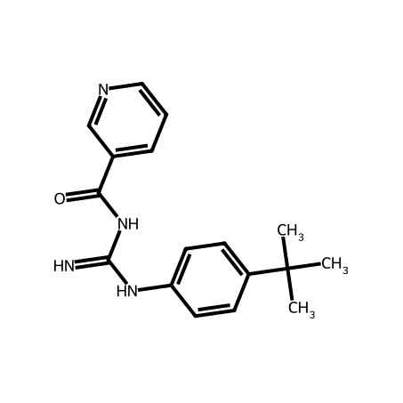 CC(C)(C)c1ccc(NC(=N)NC(=O)c2cccnc2)cc1